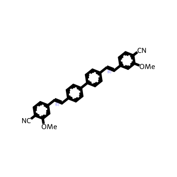 COc1cc(/C=C/c2ccc(-c3ccc(/C=C/c4ccc(C#N)c(OC)c4)cc3)cc2)ccc1C#N